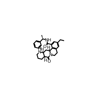 CCc1cc2c(c(C(=O)N[C@H](C)c3ccccc3)c1)[C@H]1C[C@H]3NCCC[C@H]3C(=O)N1CC2